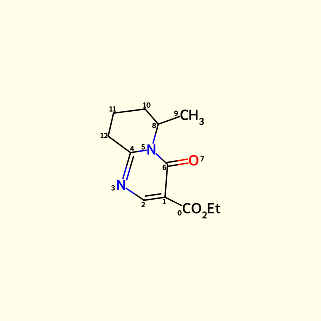 CCOC(=O)c1cnc2n(c1=O)C(C)CCC2